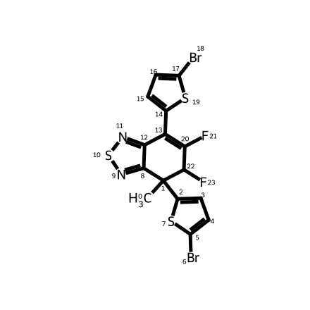 CC1(c2ccc(Br)s2)c2nsnc2C(c2ccc(Br)s2)=C(F)C1F